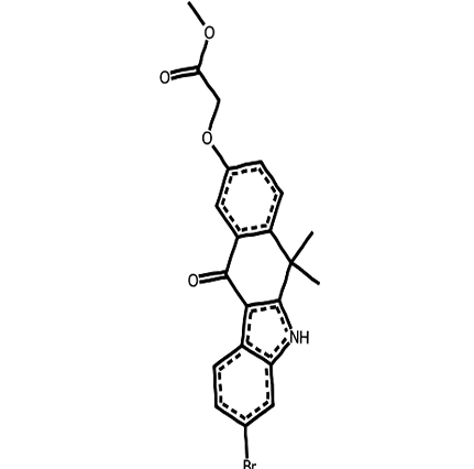 COC(=O)COc1ccc2c(c1)C(=O)c1c([nH]c3cc(Br)ccc13)C2(C)C